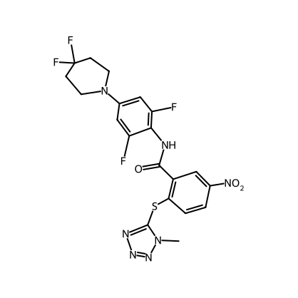 Cn1nnnc1Sc1ccc([N+](=O)[O-])cc1C(=O)Nc1c(F)cc(N2CCC(F)(F)CC2)cc1F